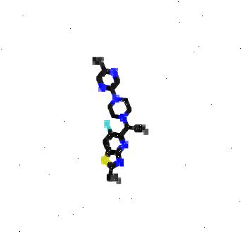 Cc1nc2nc(C(C)N3CCN(c4cnc(C#N)cn4)CC3)c(F)cc2s1